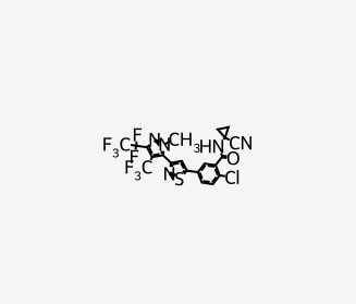 Cn1nc(C(F)(F)C(F)(F)F)c(C(F)(F)F)c1-c1cc(-c2ccc(Cl)c(C(=O)NC3(C#N)CC3)c2)sn1